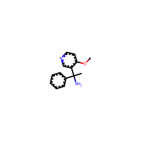 COc1ccncc1C(C)(N)c1ccccc1